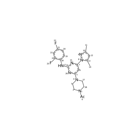 CC(=O)N1CCN(c2cc(-n3nc(C)cc3C)nc(Nc3ccc(F)cc3F)n2)CC1